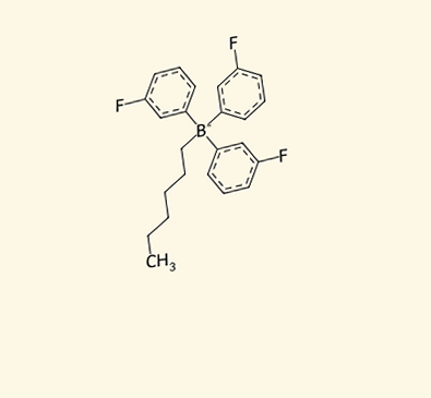 CCCCCC[B-](c1cccc(F)c1)(c1cccc(F)c1)c1cccc(F)c1